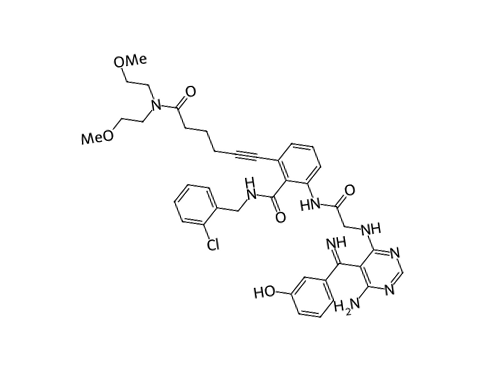 COCCN(CCOC)C(=O)CCCC#Cc1cccc(NC(=O)CNc2ncnc(N)c2C(=N)c2cccc(O)c2)c1C(=O)NCc1ccccc1Cl